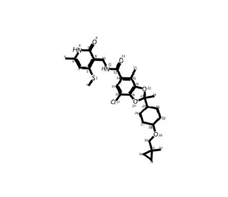 CSc1cc(C)[nH]c(=O)c1CNC(=O)c1cc(Cl)c2c(c1C)OC(C)(C1CCC(OCC3(C)CC3)CC1)O2